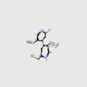 COc1cnc(Cl)cc1-c1cc(CBr)ncc1C(=O)O